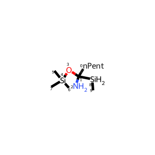 CCCCCC(N)(O[Si](C)(C)C)[SiH2]C